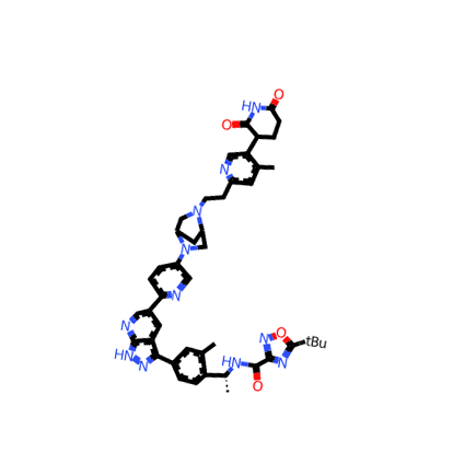 Cc1cc(CCN2CC3CC2CN3c2ccc(-c3cnc4[nH]nc(-c5ccc([C@@H](C)NC(=O)c6noc(C(C)(C)C)n6)c(C)c5)c4c3)nc2)ncc1C1CCC(=O)NC1=O